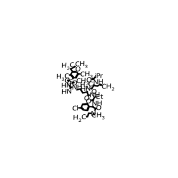 C=CCN(C)C(=O)C(NC(=O)C(CC)NC(=O)C(CCCNC(=N)NS(=O)(=O)c1c(C)c(C)c2c(c1C)CC(C)(C)O2)NC(=O)C(C)(CC=C)NC(=O)C(C)C)c1ccc(Cl)cc1